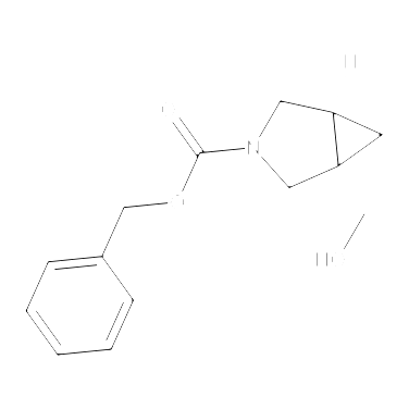 O=C(OCc1ccccc1)N1C[C@H]2C[C@@]2(CO)C1